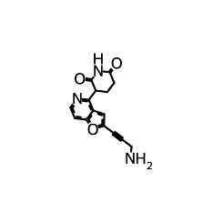 NCC#Cc1cc2c(C3CCC(=O)NC3=O)nccc2o1